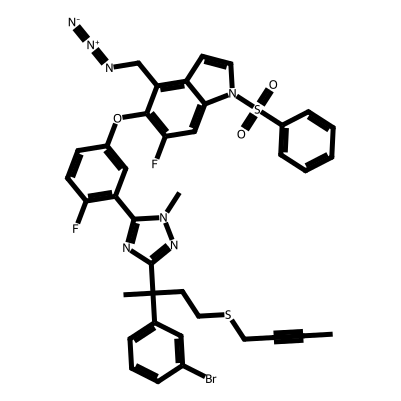 CC#CCSCCC(C)(c1cccc(Br)c1)c1nc(-c2cc(Oc3c(F)cc4c(ccn4S(=O)(=O)c4ccccc4)c3CN=[N+]=[N-])ccc2F)n(C)n1